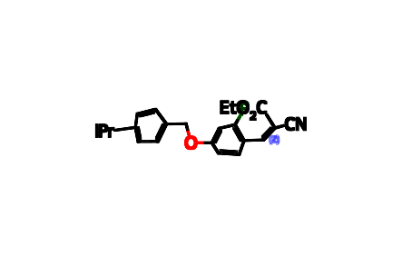 CCOC(=O)/C(C#N)=C\c1ccc(OCc2ccc(C(C)C)cc2)cc1F